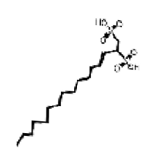 CCCCCCCCCCCCC=CC(CS(=O)(=O)O)S(=O)(=O)O